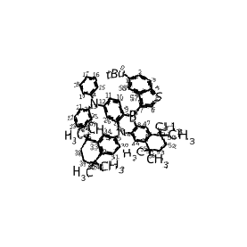 CC(C)(C)c1ccc2scc(B3c4ccc(N(c5ccccc5)c5ccccc5)cc4N(c4ccc5c(c4)C(C)(C)CCC5(C)C)c4cc5c(cc43)C(C)(C)CCC5(C)C)c2c1